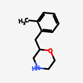 Cc1ccccc1CC1CNCCO1